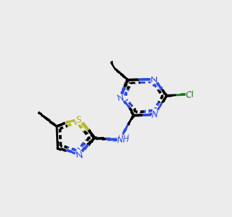 Cc1nc(Cl)nc(Nc2ncc(C)s2)n1